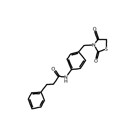 O=C(CCc1ccccc1)Nc1ccc(CN2C(=O)CSC2=O)cc1